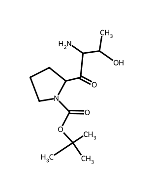 CC(O)C(N)C(=O)C1CCCN1C(=O)OC(C)(C)C